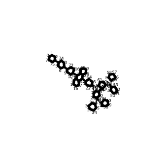 c1ccc(-c2ccc(-c3ccc(-c4c5ccccc5c(-c5ccc(-n6c7ccc(N(c8ccccc8)c8ccccc8)cc7c7cc(N(c8ccccc8)c8ccccc8)ccc76)cc5)c5ccccc45)cc3)cc2)cc1